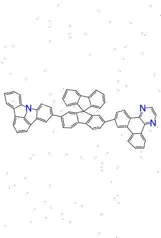 c1ccc2c(c1)-c1ccccc1C21c2cc(-c3ccc4c(c3)c3ccccc3c3nccnc43)ccc2-c2ccc(-c3ccc4c(c3)c3cccc5c6ccccc6n4c53)cc21